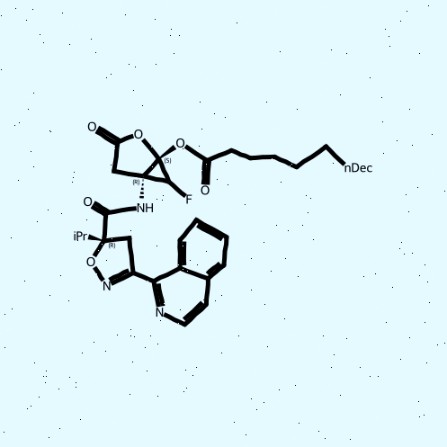 CCCCCCCCCCCCCCCC(=O)O[C@]12OC(=O)C[C@]1(NC(=O)[C@]1(C(C)C)CC(c3nccc4ccccc34)=NO1)C2F